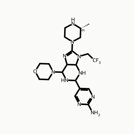 C[C@@H]1CN(C2=NC3C(N4CCOCC4)NC(c4cnc(N)nc4)NC3N2CC(F)(F)F)CCN1